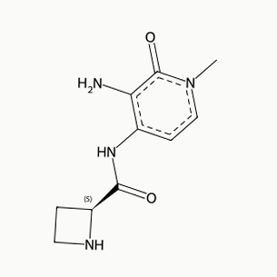 Cn1ccc(NC(=O)[C@@H]2CCN2)c(N)c1=O